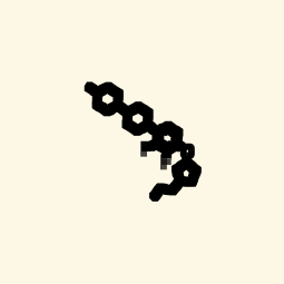 CCCC1CCC(Oc2ccc(C3CCC(C4CCC(C)CC4)CC3)c(F)c2F)C1